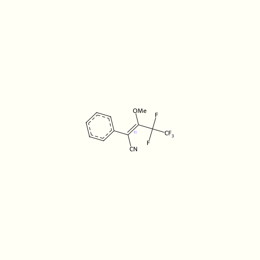 CO/C(=C(/C#N)c1ccccc1)C(F)(F)C(F)(F)F